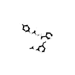 CC(=O)Nc1cc(CSc2ncccc2C(=O)NNC(=O)Nc2ccc(Cl)cc2)ccn1